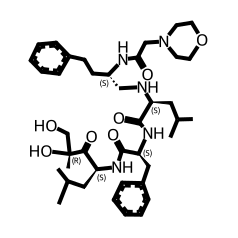 CC(C)C[C@H](NC[C@H](CCc1ccccc1)NC(=O)CN1CCOCC1)C(=O)N[C@@H](Cc1ccccc1)C(=O)N[C@@H](CC(C)C)C(=O)[C@](C)(O)CO